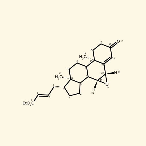 CCOC(=O)/C=C/C[C@H]1CCC2C3C(CC[C@@]21C)[C@@]1(C)CCC(=O)C=C1[C@@H]1O[C@H]31